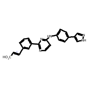 O=C(O)/C=C/c1cccc(-c2nccc(Nc3ccc(-c4cn[nH]c4)cc3)n2)c1